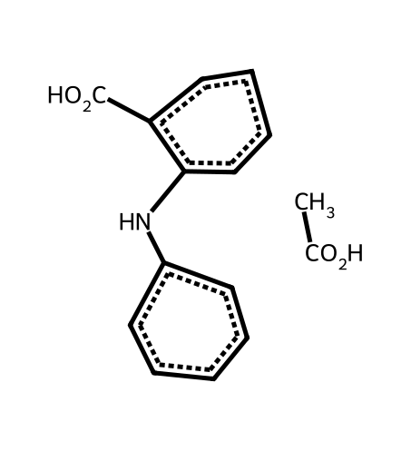 CC(=O)O.O=C(O)c1ccccc1Nc1ccccc1